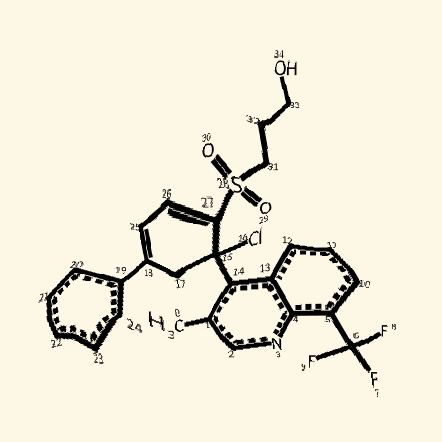 Cc1cnc2c(C(F)(F)F)cccc2c1C1(Cl)CC(c2ccccc2)=CC=C1S(=O)(=O)CCCO